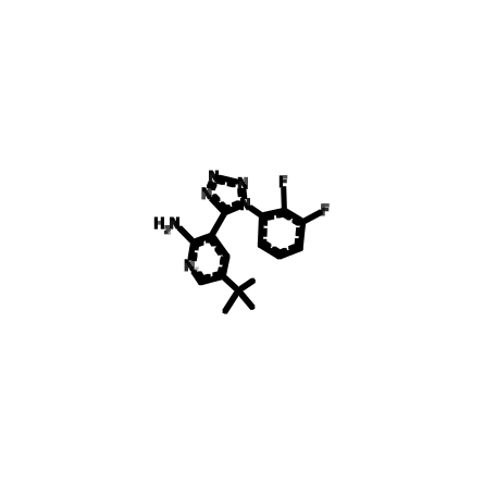 CC(C)(C)c1cnc(N)c(-c2nnnn2-c2cccc(F)c2F)c1